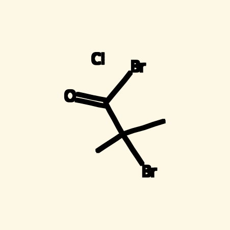 CC(C)(Br)C(=O)Br.[C]